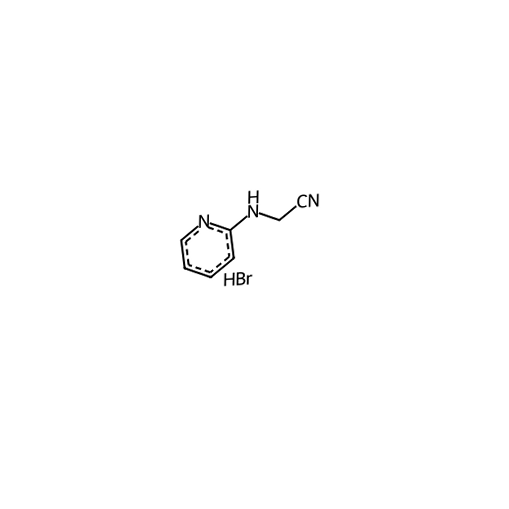 Br.N#CCNc1ccccn1